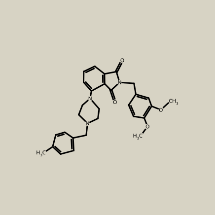 COc1ccc(CN2C(=O)c3cccc(N4CCN(Cc5ccc(C)cc5)CC4)c3C2=O)cc1OC